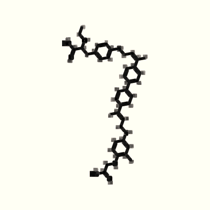 CCOC(Cc1ccc(SCC=C(C)c2ccc(-c3ccc(C(C)=CCSc4ccc(OCC(=O)O)c(C)c4)cc3)cc2)cc1)C(=O)O